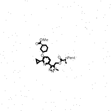 CCCCCN(C)C(=O)OCc1c(-c2ccc(O[C@H]3CCC[C@H](C(=O)OC)C3)c(C3CC3)n2)nnn1C